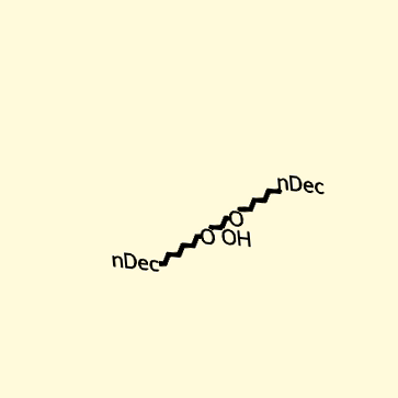 CCCCCCCCCCCCCCCCOCC(O)COCCCCCCCCCCCCCCCC